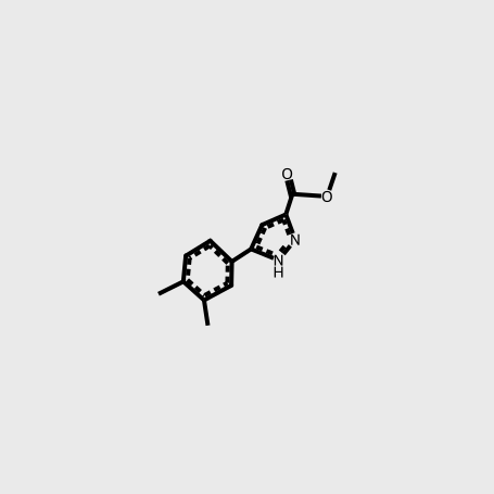 COC(=O)c1cc(-c2ccc(C)c(C)c2)[nH]n1